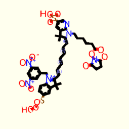 CC1(C)C(/C=C/C=C/C=C/C=C2/N(CCCCCC(=O)ON3C(=O)CCC3=O)c3ncc(S(=O)(=O)O)cc3C2(C)C)=[N+](Cc2cc([N+](=O)[O-])cc([N+](=O)[O-])c2)c2ccc(SOOO)cc21